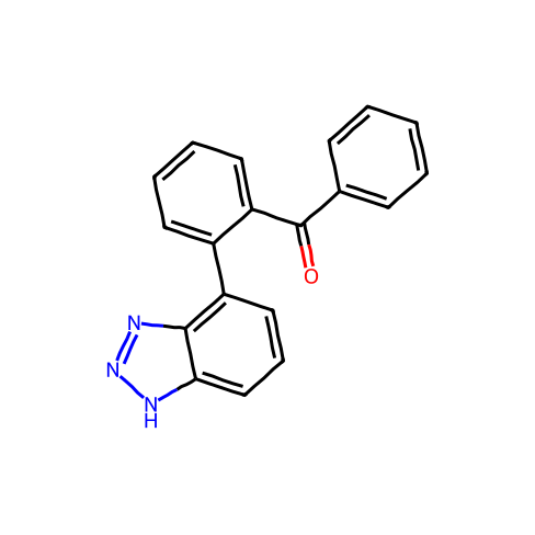 O=C(c1ccccc1)c1ccccc1-c1cccc2[nH]nnc12